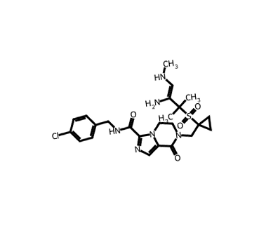 CN/C=C(\N)C(C)(C)S(=O)(=O)C1(CN2CCn3c(cnc3C(=O)NCc3ccc(Cl)cc3)C2=O)CC1